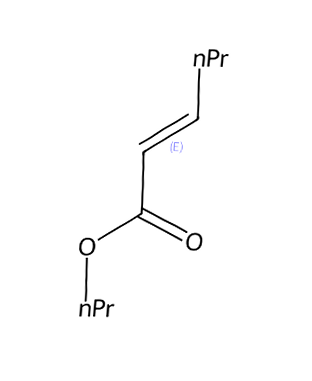 CCC/C=C/C(=O)OCCC